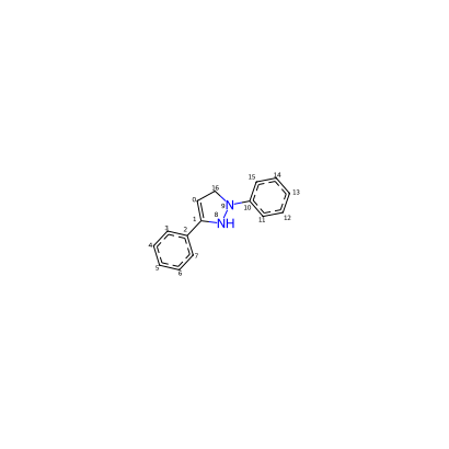 C1=C(c2ccccc2)NN(c2ccccc2)C1